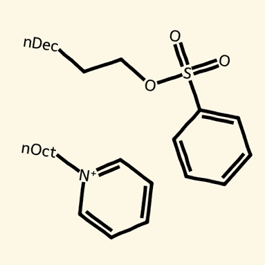 CCCCCCCCCCCCOS(=O)(=O)c1ccccc1.CCCCCCCC[n+]1ccccc1